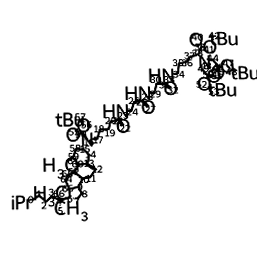 CC(C)CCC[C@@H](C)[C@H]1CCC2C3CC=C4C[C@@H](N(CCCCC(=O)NCCC(=O)NCCC(=O)NCCCCC(C(=O)OC(C)(C)C)N(CC(=O)OC(C)(C)C)CC(=O)OC(C)(C)C)C(=O)OC(C)(C)C)CC[C@]4(C)C3CC[C@@]21C